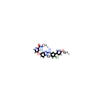 CNC(=O)c1cc(Oc2ccc3c(c2)nc(Nc2ccc(Cl)c(-c4ccc(OC)nc4)c2)n3C)ccn1